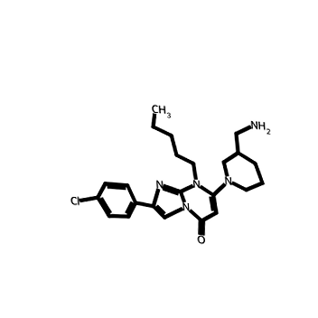 CCCCCn1c(N2CCCC(CN)C2)cc(=O)n2cc(-c3ccc(Cl)cc3)nc12